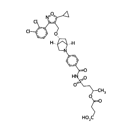 CC(CCS(=O)(=O)NC(=O)c1ccc(N2C[C@@H]3C[C@H]2C[C@H]3OCc2c(-c3cccc(Cl)c3Cl)noc2C2CC2)cc1)OC(=O)CCC(=O)O